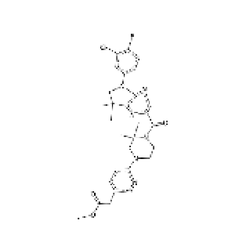 COC(=O)Cc1ccc(N2CCN(C(=O)c3cnc4c(n3)C(C)(C)CN4c3ccc(F)c(Cl)c3)C(C)(C)C2)nc1